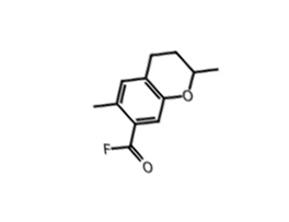 Cc1cc2c(cc1C(=O)F)OC(C)CC2